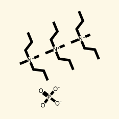 CCC[N+](C)(C)CCC.CCC[N+](C)(C)CCC.CCC[N+](C)(C)CCC.O=P([O-])([O-])[O-]